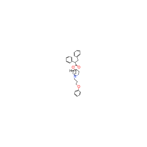 O=C(O[C@H]1C[N+]2(CCCOc3ccccc3)CCC1CC2)C(Cc1ccccc1)c1ccccc1